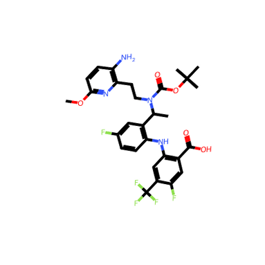 COc1ccc(N)c(CCN(C(=O)OC(C)(C)C)C(C)c2cc(F)ccc2Nc2cc(C(F)(F)F)c(F)cc2C(=O)O)n1